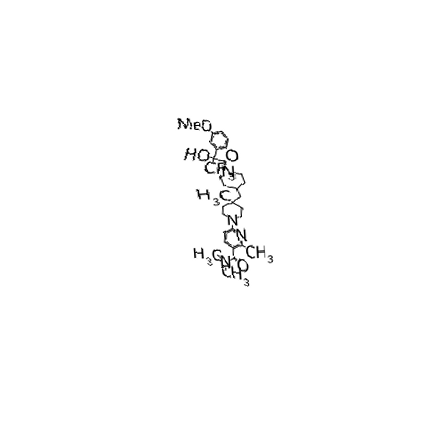 COc1cccc(C(O)(C(=O)N2CCC(CC3(C)CCN(c4ccc(C(=O)N(C)C)c(C)n4)CC3)CC2)C(F)(F)F)c1